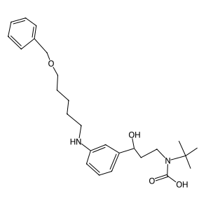 CC(C)(C)N(CCC(O)c1cccc(NCCCCCOCc2ccccc2)c1)C(=O)O